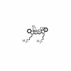 CCCCN1/C(=C/C=C/C2N(CCCC)c3ccccc3C2(C)C)C(C)(C)c2ccccc21